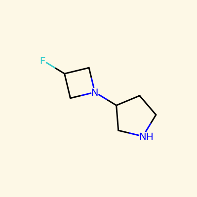 FC1CN(C2CCNC2)C1